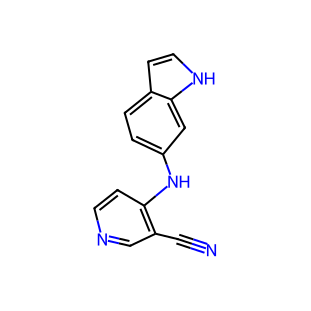 N#Cc1cnccc1Nc1ccc2cc[nH]c2c1